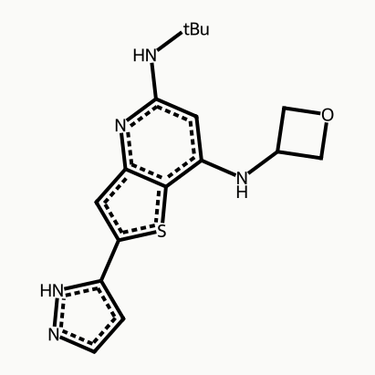 CC(C)(C)Nc1cc(NC2COC2)c2sc(-c3ccn[nH]3)cc2n1